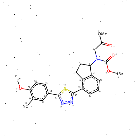 COC(=O)CN(C(=O)OC(C)(C)C)C1CCc2c(-c3nnc(-c4ccc(OC(C)C)c(C#N)c4)s3)cccc21